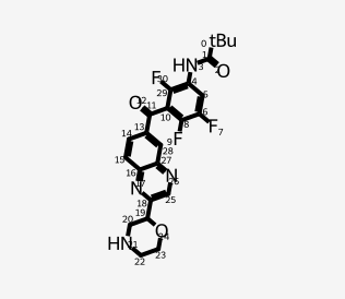 CC(C)(C)C(=O)Nc1cc(F)c(F)c(C(=O)c2ccc3nc(C4CNCCO4)cnc3c2)c1F